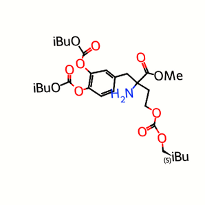 CC[C@H](C)COC(=O)OCCC(N)(Cc1ccc(OC(=O)OCC(C)C)c(OC(=O)OCC(C)C)c1)C(=O)OC